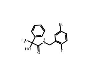 CCc1ccc(F)c(CNC(=O)C(O)(c2ccccc2)C(F)(F)F)c1